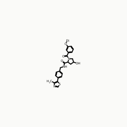 CCOc1cccc(C(=O)N2CC(O)CC2C(=O)NCc2ccc(-c3scnc3C)cc2)c1